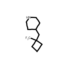 FC(F)(F)C1(C[C]2CCNCC2)CCC1